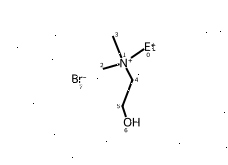 CC[N+](C)(C)CCO.[Br-]